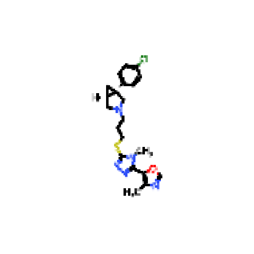 Cc1ncoc1-c1nnc(SCCCN2C[C@H]3C[C@@]3(c3ccc(Cl)cc3)C2)n1C